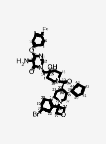 Nc1c(Oc2ccc(F)cc2)ncn(CC2(O)CCN(C(=O)[C@@H]3CCN(C4(c5cccc(Br)c5)COC4)C[C@H]3c3ccccc3)CC2)c1=O